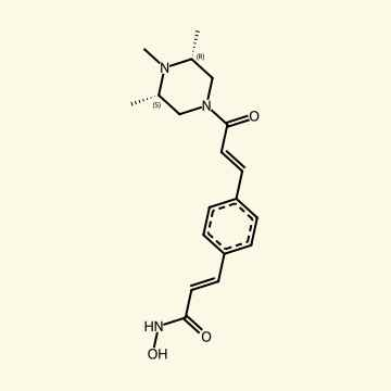 C[C@@H]1CN(C(=O)C=Cc2ccc(C=CC(=O)NO)cc2)C[C@H](C)N1C